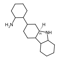 NC1CCCCC1C1CCC2C3CCCCC3N[C@@H]2C1